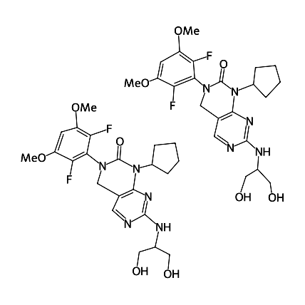 COc1cc(OC)c(F)c(N2Cc3cnc(NC(CO)CO)nc3N(C3CCCC3)C2=O)c1F.COc1cc(OC)c(F)c(N2Cc3cnc(NC(CO)CO)nc3N(C3CCCC3)C2=O)c1F